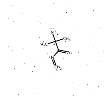 C=NC(=O)C(C)(C)N